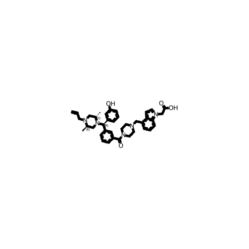 C=CCN1C[C@H](C)N([C@@H](c2cccc(O)c2)c2cccc(C(=O)N3CCN(Cc4cccc5c4ccn5CC(=O)O)CC3)c2)C[C@H]1C